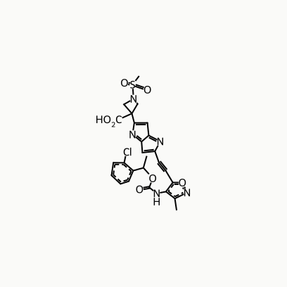 Cc1noc(C#CC2=CC3=NC(C4(C(=O)O)CN(S(C)(=O)=O)C4)=CC3=N2)c1NC(=O)OC(C)c1ccccc1Cl